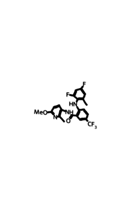 COc1ccc(NC(=O)c2cc(C(F)(F)F)ccc2Nc2c(C)cc(F)cc2F)c(C)n1